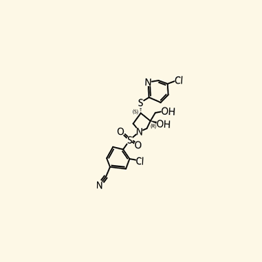 N#Cc1ccc(S(=O)(=O)N2C[C@H](Sc3ccc(Cl)cn3)[C@](O)(CO)C2)c(Cl)c1